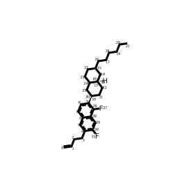 C=CCCc1cc2ccc([C@@H]3CC[C@@H]4CC(CCCCCC)CCC4C3)c(F)c2cc1F